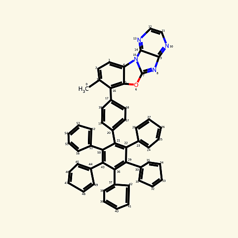 Cc1ccc2c(oc3nc4nccnc4n32)c1-c1ccc(-c2c(-c3ccccc3)c(-c3ccccc3)c(-c3ccccc3)c(-c3ccccc3)c2-c2ccccc2)cc1